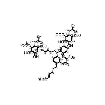 CCCCCCC=CCCCc1ccccc1N=C(C)C(CCCC)=Nc1ccccc1CCCC=CCCCCCC.CCCCc1cc(O)c(O)c(C(=O)[O-])c1CC(=O)CC.CCCCc1cc(O)c(O)c(C(=O)[O-])c1CC(=O)CC.[Ni+2]